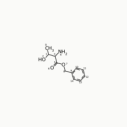 CC(O)C(N)C(=O)OCc1ccccc1